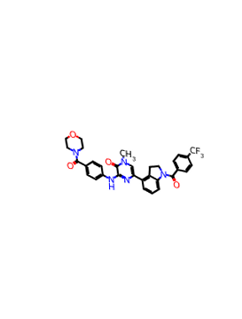 Cn1cc(-c2cccc3c2CCN3C(=O)c2ccc(C(F)(F)F)cc2)nc(Nc2ccc(C(=O)N3CCOCC3)cc2)c1=O